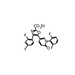 CCOC(=O)c1nc(-c2ccc(F)cc2F)c(-c2ccc(=O)n(-c3c(F)cccc3F)c2)o1